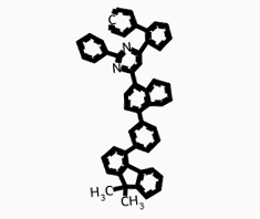 CC1(C)c2ccccc2-c2c(-c3cccc(-c4ccc(-c5cc(-c6ccccc6-c6ccccc6)nc(-c6ccccc6)n5)c5ccccc45)c3)cccc21